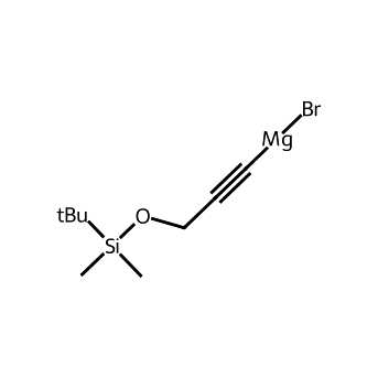 CC(C)(C)[Si](C)(C)OCC#[C][Mg][Br]